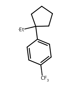 C[CH]C1(c2ccc(C(F)(F)F)cc2)CCCC1